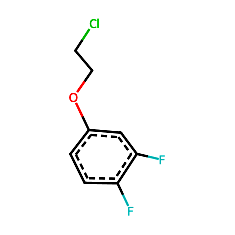 Fc1ccc(OCCCl)cc1F